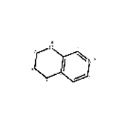 [c]1cc2c(cn1)OCCC2